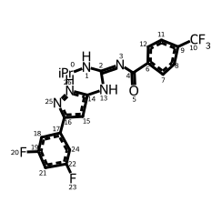 CC(C)N/C(=N/C(=O)c1ccc(C(F)(F)F)cc1)Nc1cc(-c2cc(F)cc(F)c2)n[nH]1